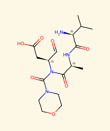 CC(C)[C@H](N)C(=O)N[C@@H](C)C(=O)N(C(=O)N1CCOCC1)[C@H]([C]=O)CC(=O)O